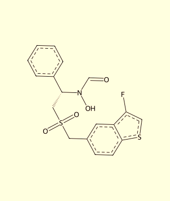 O=CN(O)[C@H](CS(=O)(=O)Cc1ccc2scc(F)c2c1)c1ccccc1